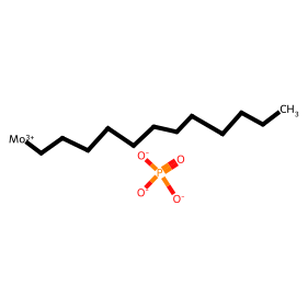 CCCCCCCCCCC[CH2][Mo+3].O=P([O-])([O-])[O-]